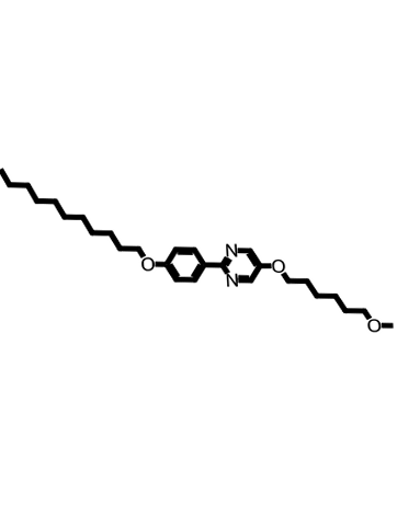 CCCCCCCCCCCOc1ccc(-c2ncc(OCCCCCCOC)cn2)cc1